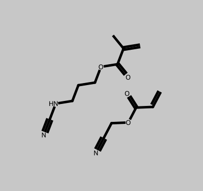 C=C(C)C(=O)OCCCNC#N.C=CC(=O)OCC#N